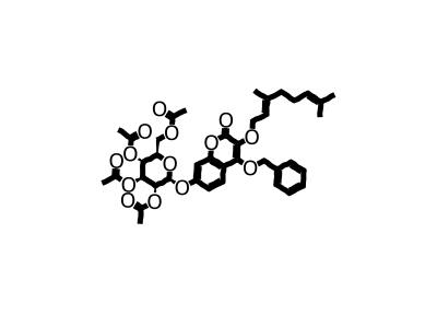 CC(=O)OC[C@H]1O[C@@H](Oc2ccc3c(OCc4ccccc4)c(OC/C=C(\C)CCC=C(C)C)c(=O)oc3c2)[C@H](OC(C)=O)[C@@H](OC(C)=O)[C@@H]1OC(C)=O